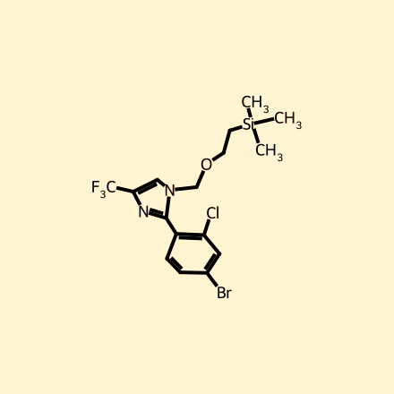 C[Si](C)(C)CCOCn1cc(C(F)(F)F)nc1-c1ccc(Br)cc1Cl